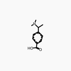 CC(c1ccc(C(=O)O)cc1)N(C)C